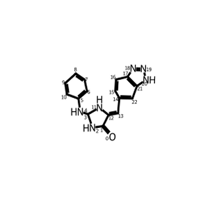 O=C1NC(Nc2ccccc2)N/C1=C\c1ccc2nn[nH]c2c1